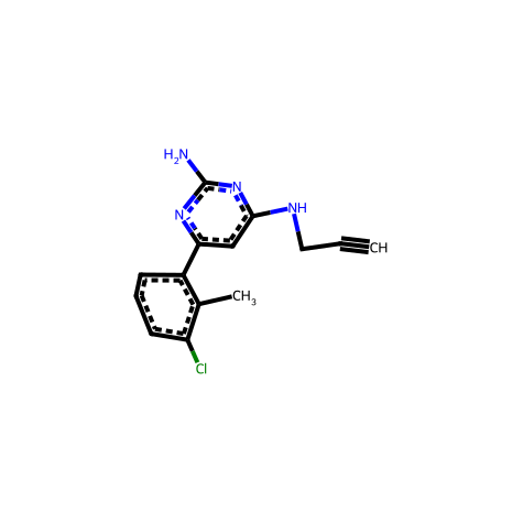 C#CCNc1cc(-c2cccc(Cl)c2C)nc(N)n1